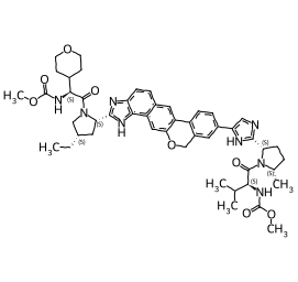 CC[C@H]1C[C@@H](c2nc3ccc4cc5c(cc4c3[nH]2)OCc2cc(-c3cnc([C@@H]4CC[C@H](C)N4C(=O)[C@@H](NC(=O)OC)C(C)C)[nH]3)ccc2-5)N(C(=O)[C@@H](NC(=O)OC)C2CCOCC2)C1